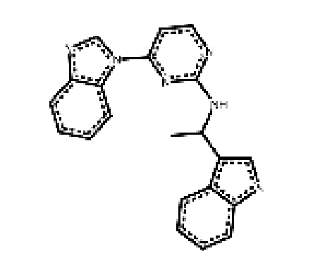 CC(Nc1nccc(-n2cnc3ccccc32)n1)c1csc2ccccc12